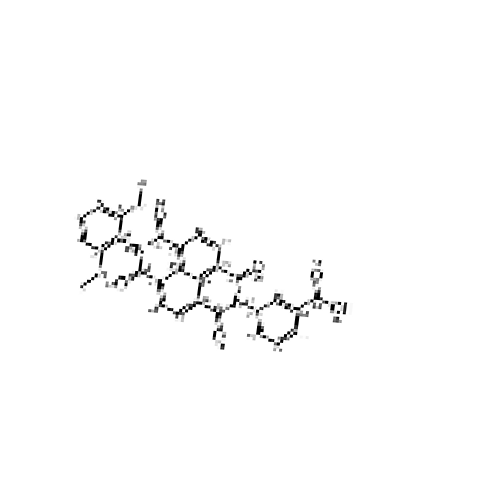 CCc1cccc(CC)c1N1C(=O)c2ccc3c4c(ccc(c24)C1=O)C(=O)N(c1cccc(C(=O)O)c1)C3=O